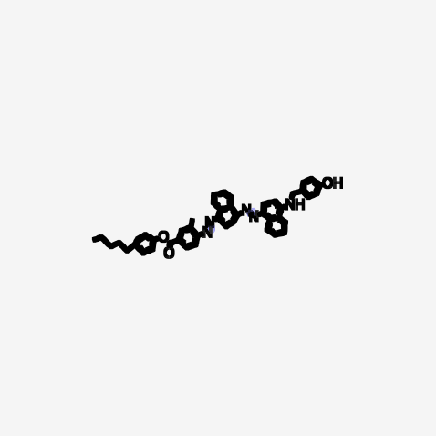 CCCCCc1ccc(OC(=O)c2ccc(/N=N/c3ccc(/N=N/c4ccc(NCc5ccc(O)cc5)c5ccccc45)c4ccccc34)c(C)c2)cc1